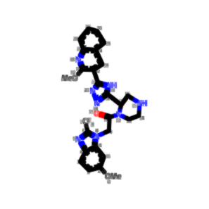 COc1ccc2nc(C(F)(F)F)n(CC(=O)N3CCNCC3c3nnc(-c4cc5ccccc5nc4OC)[nH]3)c2c1